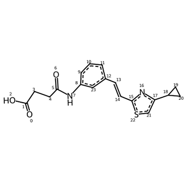 O=C(O)CCC(=O)Nc1cccc(C=Cc2nc(C3CC3)cs2)c1